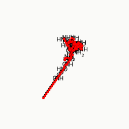 CCCCCCCCCCCCCCCCCCCC(=O)NCCOCCOCCNC(=O)CCC(=O)NCCCC[C@H](NC(=O)[C@@H](N)[C@@H](C)CC)C(=O)N1CCN(c2ccc3ncn(CC(=O)N[C@@H](CCCNC(=N)N)C(=O)N[C@@H](Cc4c[nH]cn4)C(=O)N[C@@H](Cc4ccc(O)cc4)C(=O)N[C@@H](CC(C)C)C(=O)N[C@@H](CC(N)=O)C(=O)N[C@@H](Cc4c[nH]c5ccccc45)C(=O)N[C@H](C(=O)NC)C(C)C)c(=O)c3c2)CC1